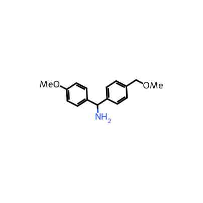 COCc1ccc(C(N)c2ccc(OC)cc2)cc1